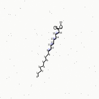 CCCCCCCCC/C=C/C=C/C=C/C=C/C(=O)OC